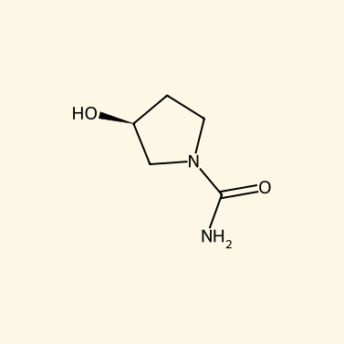 NC(=O)N1CC[C@H](O)C1